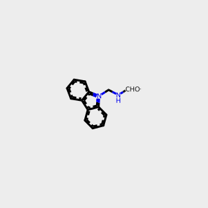 O=[C]NCn1c2ccccc2c2ccccc21